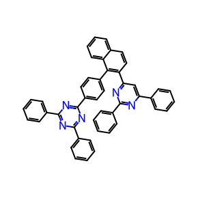 c1ccc(-c2cc(-c3ccc4ccccc4c3-c3ccc(-c4nc(-c5ccccc5)nc(-c5ccccc5)n4)cc3)nc(-c3ccccc3)n2)cc1